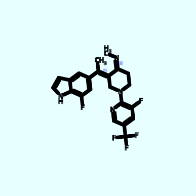 C/N=C1/CCN(c2ncc(C(F)(F)F)cc2F)C/C1=C(/C)c1cc(F)c2[nH]ccc2c1